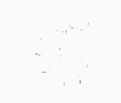 O=C(c1cc2c(c3c1-c1cccc4cccc-3c14)-c1ccccc1OC2)N1CCOCC1